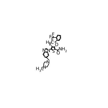 C[C@@H](Oc1c(C(N)=O)sc(-n2cnc3ccc(CN4CCN(C)CC4)cc32)c1F)c1ccccc1C(F)(F)F